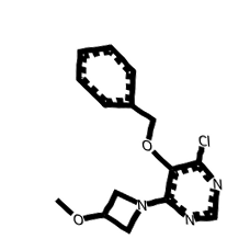 COC1CN(c2ncnc(Cl)c2OCc2ccccc2)C1